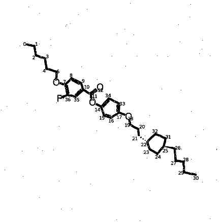 CCCCCCOc1ccc(C(=O)Oc2ccc(OCCC[C@H]3CC[C@H](CCCCC)CC3)cc2)cc1F